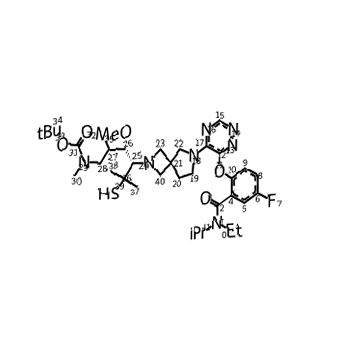 CCN(C(=O)c1cc(F)ccc1Oc1nncnc1N1CCC2(C1)CN([C@@H](CC(CN(C)C(=O)OC(C)(C)C)OC)C(C)(C)S)C2)C(C)C